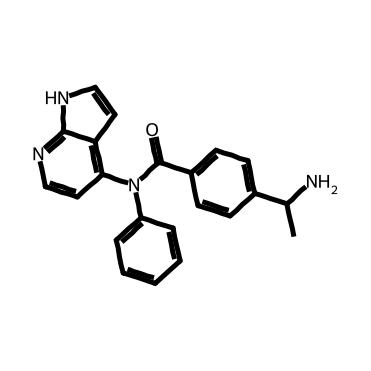 CC(N)c1ccc(C(=O)N(c2ccccc2)c2ccnc3[nH]ccc23)cc1